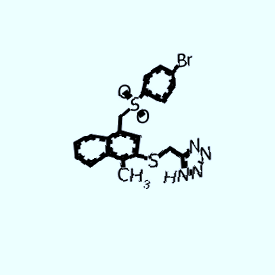 Cc1c(SCc2nnn[nH]2)cc(CS(=O)(=O)c2ccc(Br)cc2)c2ccccc12